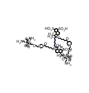 CC1(C)C(/C=C/C=C/C=C2/N(CCCCCC(=O)N3CCN(CCOCCON([C@H](CCN)C(=O)ON)[SH](=O)=O)CC3)c3ccc4c(S(=O)(=O)O)cc(S(=O)(=O)O)cc4c3C2(C)C)=[N+](CCCCCC(=O)C2=CCCN(CCOCCON([C@@H](CCN)C(=O)ON)[SH](=O)=O)CC2)c2ccc3c(S(=O)(=O)O)cc(S(=O)(=O)O)cc3c21